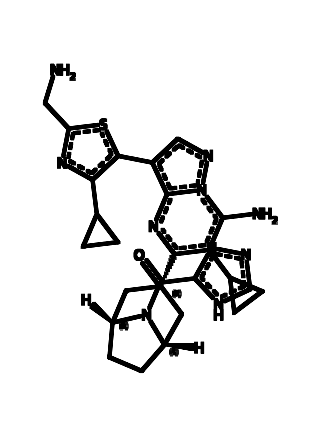 NCc1nc(C2CC2)c(-c2cnn3c(N)c(C4CC4)c([C@H]4C[C@H]5CC[C@@H](C4)N5C(=O)c4nnc[nH]4)nc23)s1